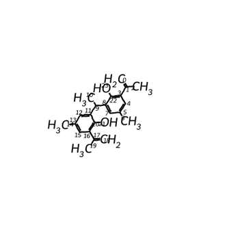 C=C(C)c1cc(C)cc(C(C)c2cc(C)cc(C(=C)C)c2O)c1O